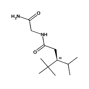 CC(C)[C@H](CC(=O)NCC(N)=O)C(C)(C)C